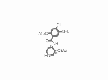 COc1cc(Cl)c(N)cc1C(=O)N[C@H]1CCNC[C@H]1OC